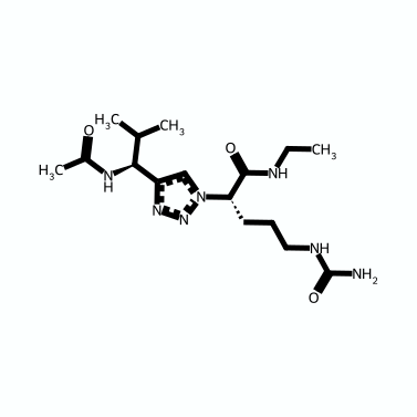 CCNC(=O)[C@H](CCCNC(N)=O)n1cc([C@@H](NC(C)=O)C(C)C)nn1